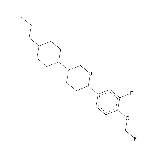 CCCC1CCC(C2CCC(c3ccc(OCF)c(F)c3)OC2)CC1